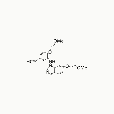 C#Cc1ccc(OCCOC)c(NN2C=NC=C3C=CC(OCCOC)=CC32)c1